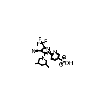 CC1CC(C)CN(c2c(C#N)c(C(F)(F)F)nn2-c2ccc(S(=O)(=O)O)cn2)C1